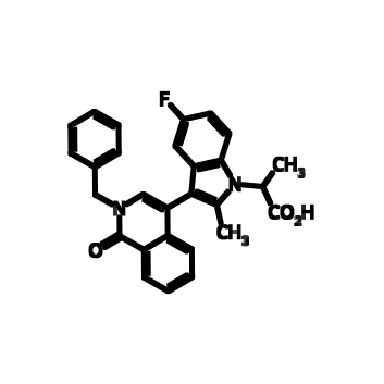 Cc1c(-c2cn(Cc3ccccc3)c(=O)c3ccccc23)c2cc(F)ccc2n1C(C)C(=O)O